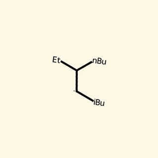 [CH2]C([CH]C(CC)CCCC)CC